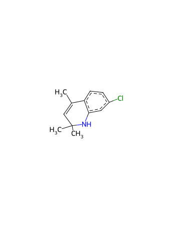 CC1=CC(C)(C)Nc2cc(Cl)ccc21